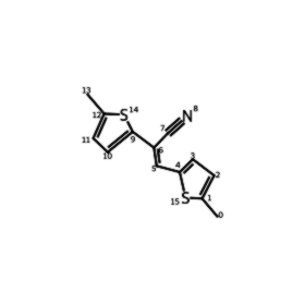 Cc1ccc(/C=C(\C#N)c2ccc(C)s2)s1